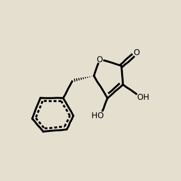 O=C1O[C@@H](Cc2ccccc2)C(O)=C1O